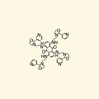 O=C1c2c(NCCN3CCOC3c3cccnc3)ccc(NCCN3CCOC3c3cccnc3)c2C(=O)c2c(NCCN3CCOC3c3cccnc3)ccc(NCCN3CCOC3c3cccnc3)c21